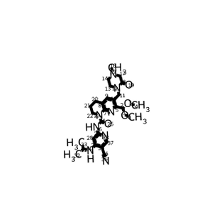 COC(OC)c1nc2c(cc1CN1CCN(C)CC1=O)CCCN2C(=O)Nc1cc(NC(C)C)c(C#N)cn1